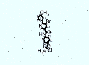 C[C@@H]1CCN(c2ncc(C(=O)Nc3ccc(OC(C)(F)Cl)cc3)cc2Br)C1